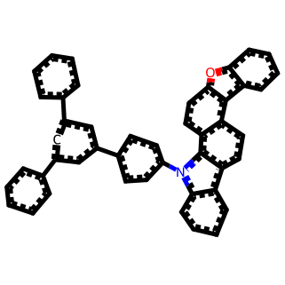 c1ccc(-c2cc(-c3ccccc3)cc(-c3ccc(-n4c5ccccc5c5ccc6c(ccc7oc8ccccc8c76)c54)cc3)c2)cc1